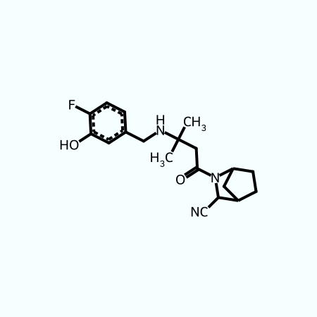 CC(C)(CC(=O)N1C2CCC(C2)C1C#N)NCc1ccc(F)c(O)c1